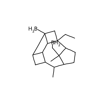 BCC1(C)C2CCC1C1(CC)CC3(B)C4CC(C2C)C4C31